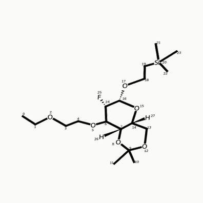 CCOCCOC1[C@H]2OC(C)(C)OC[C@H]2O[C@@H](OCC[Si](C)(C)C)[C@H]1F